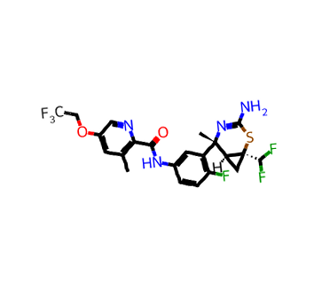 Cc1cc(OCC(F)(F)F)cnc1C(=O)Nc1ccc(F)c([C@]2(C)N=C(N)S[C@@]3(C(F)F)C[C@@H]23)c1